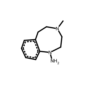 CN1CCc2ccccc2N(N)CC1